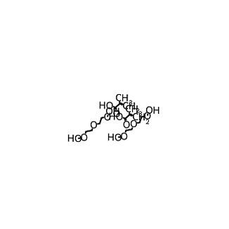 C=C(C)C(=O)O.C=C(C)C(=O)O.OOCCOCCOO.OOCCOCCOO